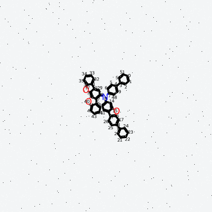 c1ccc(-c2ccc(N(c3ccc4c(c3)oc3cc(-c5ccccc5)ccc34)c3cc4c5ccccc5oc4c4oc5ccccc5c34)cc2)cc1